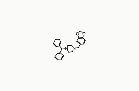 c1ccc(C(c2ccccc2)N2CCN(Cc3ccc4c(c3)OCO4)CC2)cc1